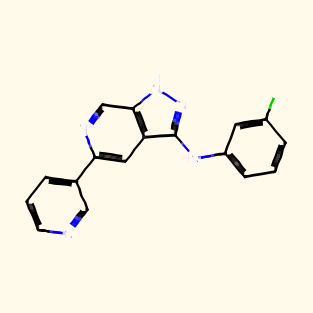 Clc1cccc(Nc2n[nH]c3cnc(-c4cccnc4)cc23)c1